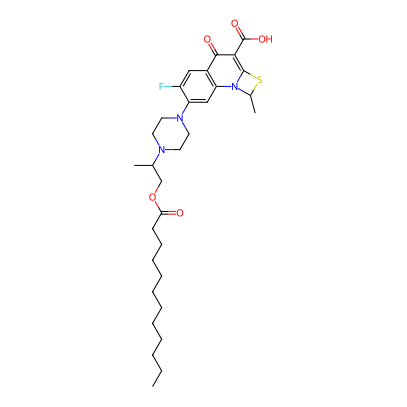 CCCCCCCCCCCC(=O)OCC(C)N1CCN(c2cc3c(cc2F)c(=O)c(C(=O)O)c2n3C(C)S2)CC1